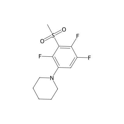 CS(=O)(=O)c1c(F)c(F)cc(N2CCCCC2)c1F